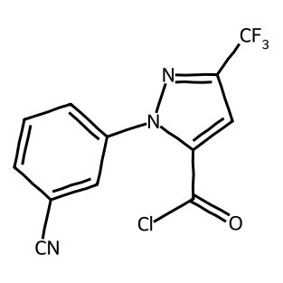 N#Cc1cccc(-n2nc(C(F)(F)F)cc2C(=O)Cl)c1